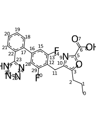 CCCc1oc(C(=O)O)nc1Cc1c(F)cc(-c2ccccc2-c2nnn[nH]2)cc1F